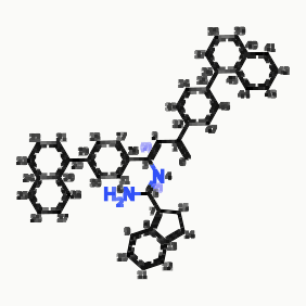 C=C(/C=C(\N=C(/N)C1=c2ccccc2=CC1)c1ccc(-c2cccc3ccccc23)cc1)c1ccc(-c2cccc3ccccc23)cc1